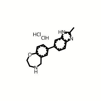 Cc1nc2ccc(-c3ccc4c(c3)CNCCO4)cc2[nH]1.Cl.Cl